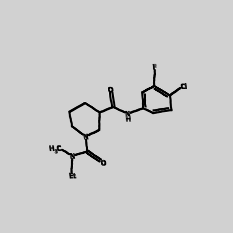 CCN(C)C(=O)N1CCCC(C(=O)Nc2ccc(Cl)c(F)c2)C1